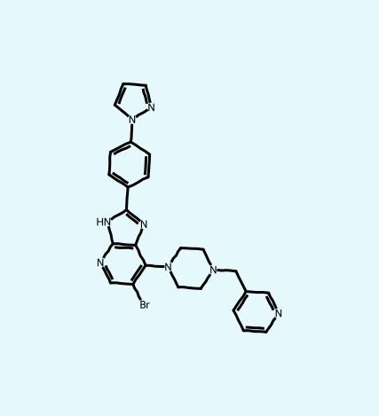 Brc1cnc2[nH]c(-c3ccc(-n4cccn4)cc3)nc2c1N1CCN(Cc2cccnc2)CC1